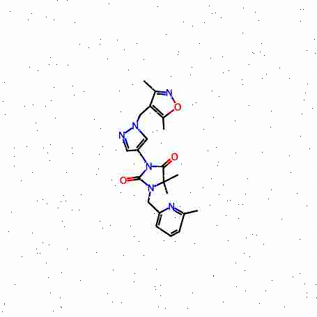 Cc1cccc(CN2C(=O)N(c3cnn(Cc4c(C)noc4C)c3)C(=O)C2(C)C)n1